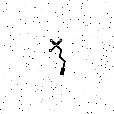 C#CCCCS(=O)(=O)Cl